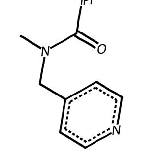 CC(C)C(=O)N(C)Cc1ccncc1